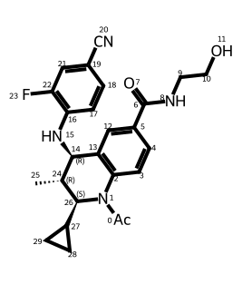 CC(=O)N1c2ccc(C(=O)NCCO)cc2[C@H](Nc2ccc(C#N)cc2F)[C@@H](C)[C@@H]1C1CC1